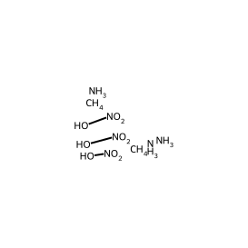 C.C.N.N.N.O=[N+]([O-])O.O=[N+]([O-])O.O=[N+]([O-])O